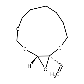 C=C[C@@]12CCCCCCCCCC[C@H]1O2